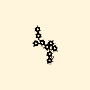 c1ccc(-c2ccc(-n3c4ccccc4c4cc(-c5ccc(N(c6ccc7c(c6)oc6ccccc67)c6cccc7oc8ccccc8c67)cc5)ccc43)cc2)cc1